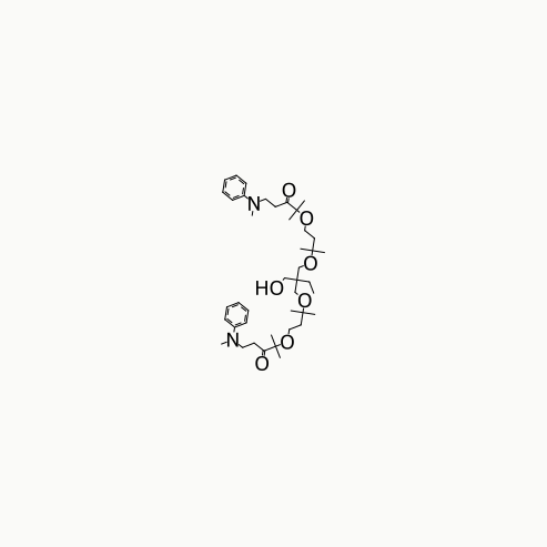 CCC(CO)(COC(C)(C)CCOC(C)(C)C(=O)CCN(C)c1ccccc1)COC(C)(C)CCOC(C)(C)C(=O)CCN(C)c1ccccc1